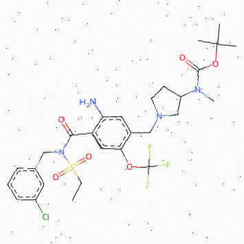 CCS(=O)(=O)N(Cc1cccc(Cl)c1)C(=O)c1cc(OC(F)(F)F)c(CN2CCC(N(C)C(=O)OC(C)(C)C)C2)cc1N